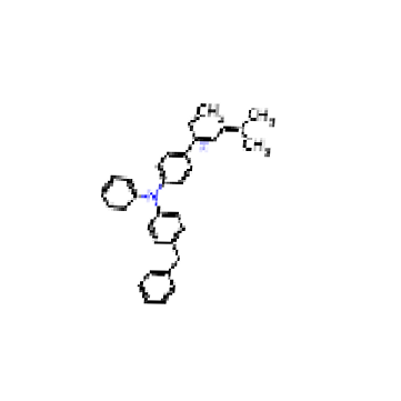 C=C/C(=C\C=C(C)C)c1ccc(N(c2ccccc2)c2ccc(Cc3ccccc3)cc2)cc1